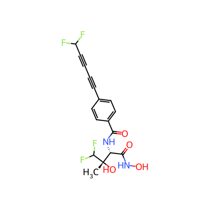 C[C@@](O)(C(F)F)[C@H](NC(=O)c1ccc(C#CC#CC(F)F)cc1)C(=O)NO